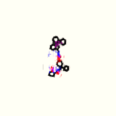 COc1ccccc1C(=O)NCC1(c2ccccc2)CCC(OC(=O)NCCC[P+](c2ccccc2)(c2ccccc2)c2ccccc2)CC1.[I-]